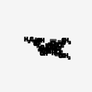 CCCP(=O)(O)CC[C@@H]1C[C@@H](O)[C@H](n2cnc3c(NC(c4ccccc4)(c4ccc(OC)cc4)c4ccc(OC)cc4)ncnc32)O1